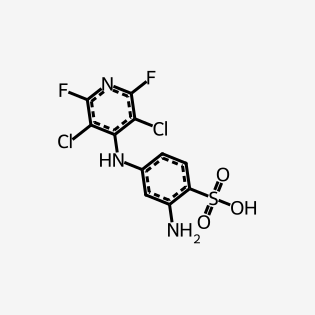 Nc1cc(Nc2c(Cl)c(F)nc(F)c2Cl)ccc1S(=O)(=O)O